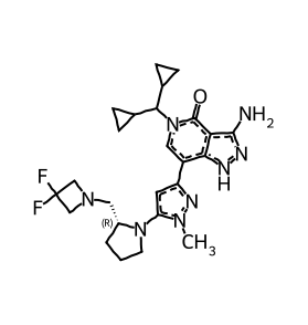 Cn1nc(-c2cn(C(C3CC3)C3CC3)c(=O)c3c(N)n[nH]c23)cc1N1CCC[C@@H]1CN1CC(F)(F)C1